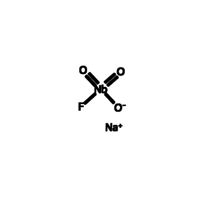 [Na+].[O]=[Nb](=[O])([O-])[F]